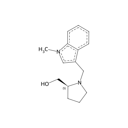 Cn1cc(CN2CCC[C@H]2CO)c2ccccc21